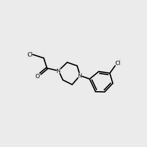 O=C(CCl)N1CCN(c2cccc(Cl)c2)CC1